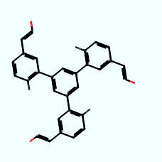 O=S(=O)(O)c1ccc(C=CO)cc1-c1cc(-c2cc(C=CO)ccc2S(=O)(=O)O)cc(-c2cc(C=CO)ccc2S(=O)(=O)O)c1